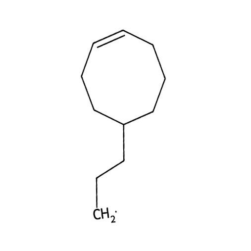 [CH2]CCC1CCC=CCCC1